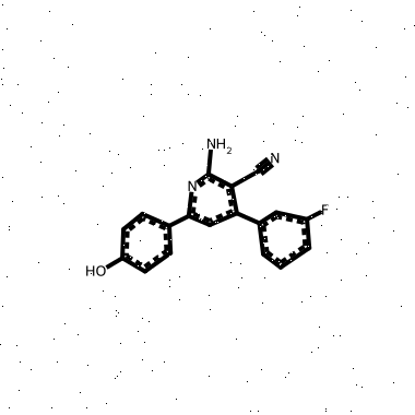 N#Cc1c(-c2cccc(F)c2)cc(-c2ccc(O)cc2)nc1N